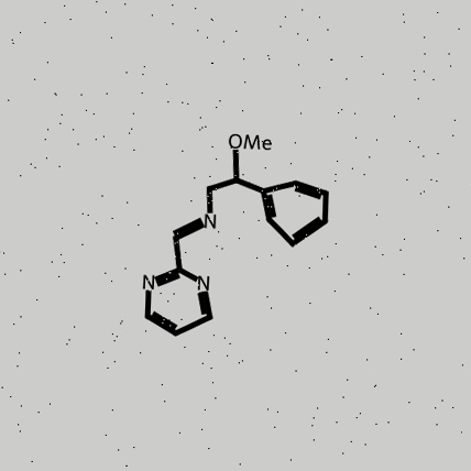 COC(CN=Cc1ncccn1)c1ccccc1